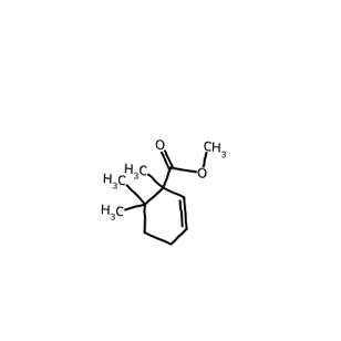 COC(=O)C1(C)C=CCCC1(C)C